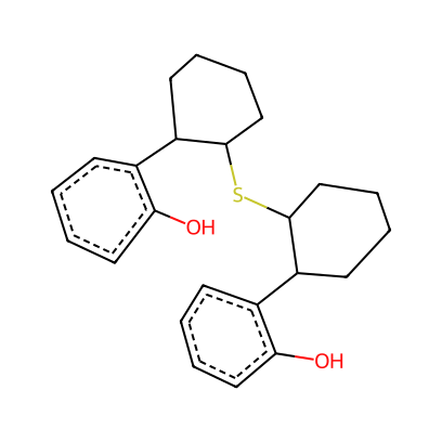 Oc1ccccc1C1CCCCC1SC1CCCCC1c1ccccc1O